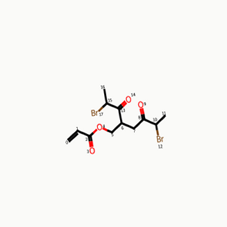 C=CC(=O)OCC(CC(=O)C(C)Br)C(=O)C(C)Br